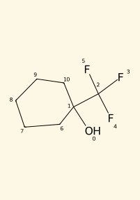 OC1(C(F)(F)F)CCCCC1